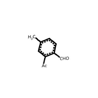 CC(=O)c1cc(C)ccc1C=O